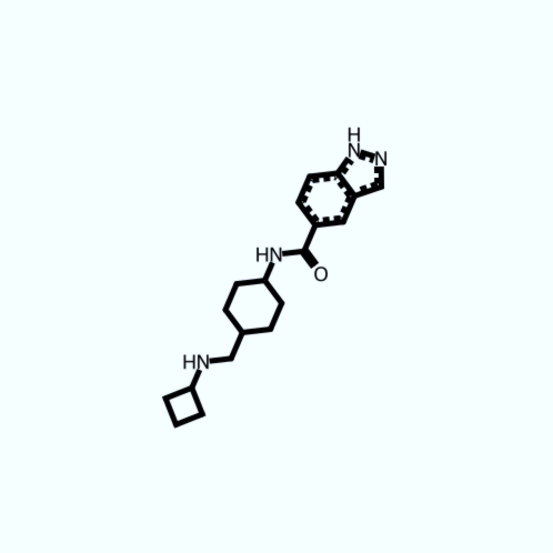 O=C(NC1CCC(CNC2CCC2)CC1)c1ccc2[nH]ncc2c1